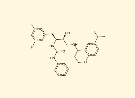 CC(C)c1ccc2c(c1)C(NC[C@H](O)[C@H](Cc1cc(F)cc(F)c1)NC(=O)Nc1ccccc1)CCO2